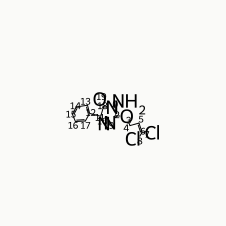 Nn1c(OCC=C(Cl)Cl)nnc(-c2ccccc2)c1=O